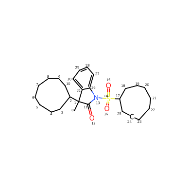 CC1(C2CCCCCCCC2)C(=O)N(S(=O)(=O)C2CCCCCCCC2)c2ccccc21